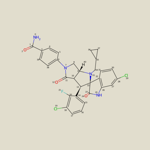 NC(=O)c1ccc(N2C[C@H]3C(C2=O)[C@H](c2cccc(Cl)c2F)[C@]2(C(=O)Nc4cc(Cl)ccc42)N3CC2CC2)cc1